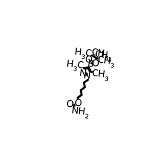 Cc1nn(CCCCCCOC(N)=O)c(C)c1B1OC(C)(C)C(C)(C)O1